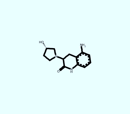 Nc1cccc2c1CC(N1CC[C@H](O)C1)C(=O)N2